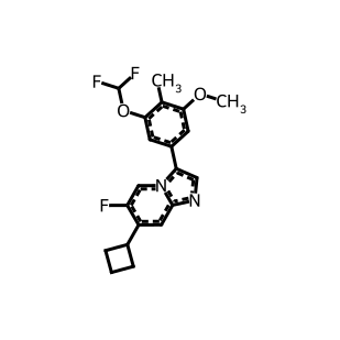 COc1cc(-c2cnc3cc(C4CCC4)c(F)cn23)cc(OC(F)F)c1C